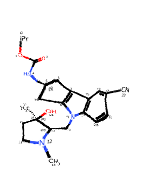 CC(C)OC(=O)N[C@H]1Cc2c(n(C[C@H]3N(C)CC[C@@]3(C)O)c3ccc(C#N)cc23)C1